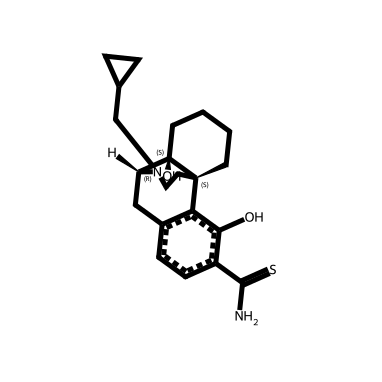 NC(=S)c1ccc2c(c1O)[C@@]13CCCC[C@@]1(O)[C@@H](C2)N(CC1CC1)CC3